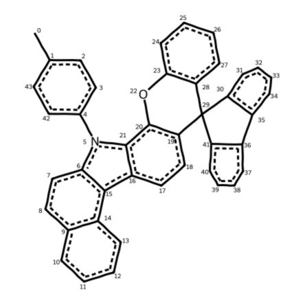 Cc1ccc(-n2c3ccc4ccccc4c3c3ccc4c(c32)Oc2ccccc2C42c3ccccc3-c3ccccc32)cc1